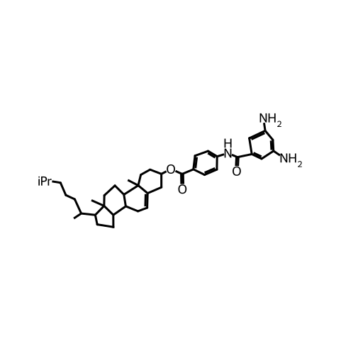 CC(C)CCCC(C)C1CCC2C3CC=C4CC(OC(=O)c5ccc(NC(=O)c6cc(N)cc(N)c6)cc5)CCC4(C)C3CCC12C